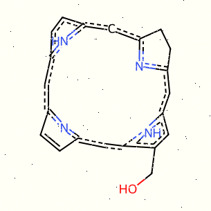 OCc1cc2cc3nc(cc4ccc(cc5nc(cc1[nH]2)C=C5)[nH]4)CC3